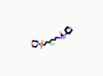 Cl.O=C(NCCCCCCS(=O)(=O)N1CCOCC1)Nc1ccncc1